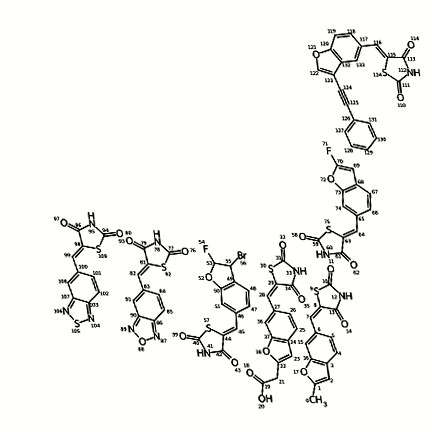 Cc1cc2ccc(C=C3SC(=O)NC3=O)cc2o1.O=C(O)Cc1cc2ccc(C=C3SC(=O)NC3=O)cc2o1.O=C1NC(=O)C(=Cc2ccc3c(c2)OC(F)C3Br)S1.O=C1NC(=O)C(=Cc2ccc3cc(F)oc3c2)S1.O=C1NC(=O)C(=Cc2ccc3nonc3c2)S1.O=C1NC(=O)C(=Cc2ccc3nsnc3c2)S1.O=C1NC(=O)C(=Cc2ccc3occ(C#Cc4ccccc4)c3c2)S1